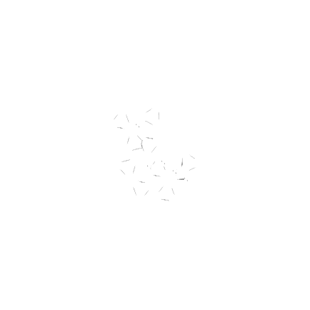 c1ccc(-c2nc(-c3cccc4oc5ccc(-c6ccc7c(c6)c6ccccc6n7-c6ccccc6)cc5c34)c3c4ccccc4c4nc5ccccc5n4c3n2)cc1